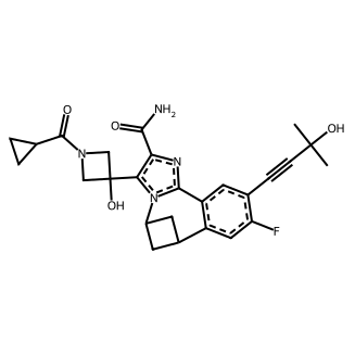 CC(C)(O)C#Cc1cc2c(cc1F)C1CC(C1)n1c-2nc(C(N)=O)c1C1(O)CN(C(=O)C2CC2)C1